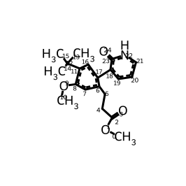 COC(=O)CCc1cc(OC)c(C(C)(C)C)cc1-c1ccc[nH]c1=O